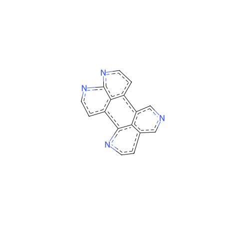 c1cc2c3cncc4ccnc(c5ccnc(n1)c25)c43